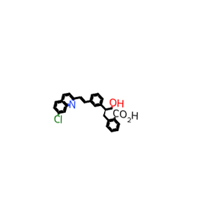 O=C(O)c1ccccc1C[C@H](CO)c1cccc(C=Cc2ccc3ccc(Cl)cc3n2)c1